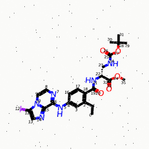 CCc1cc(Nc2nccn3c(I)cnc23)ccc1C(=O)N[C@H](CNC(=O)OC(C)(C)C)C(=O)OC